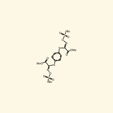 CCCCS(=O)(=O)O/N=C(\Sc1ccc(S/C(=N\OS(=O)(=O)CCCC)C(=O)OC)cc1)C(=O)OC